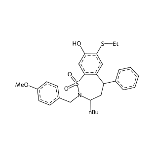 CCCCC1CC(c2ccccc2)c2cc(SCC)c(O)cc2S(=O)(=O)N1Cc1ccc(OC)cc1